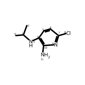 CC(C)Nc1ccc(Cl)nc1N